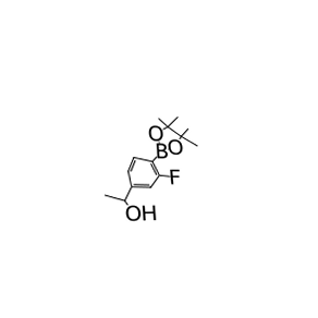 CC(O)c1ccc(B2OC(C)(C)C(C)(C)O2)c(F)c1